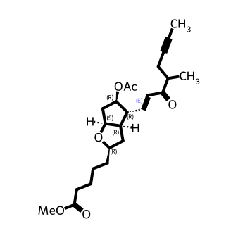 CC#CCC(C)C(=O)/C=C/[C@@H]1[C@H]2C[C@@H](CCCCC(=O)OC)O[C@H]2C[C@H]1OC(C)=O